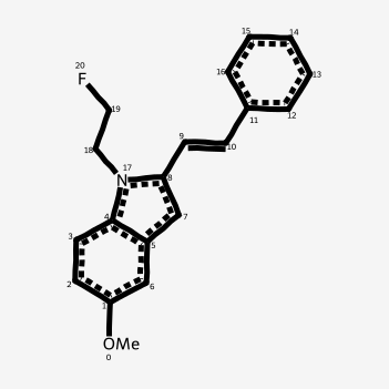 COc1ccc2c(c1)cc(C=Cc1ccccc1)n2CCF